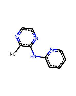 N#Cc1nccnc1Nc1ccccn1